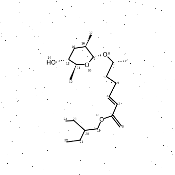 C=C(/C=C/CC[C@@H](C)O[C@@H]1O[C@@H](C)[C@H](O)C[C@H]1C)OCC(CC)CC